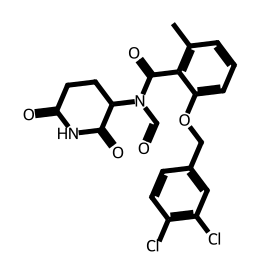 Cc1cccc(OCc2ccc(Cl)c(Cl)c2)c1C(=O)N(C=O)C1CCC(=O)NC1=O